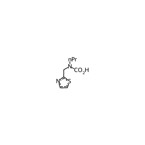 CCCN(Cc1nccs1)C(=O)O